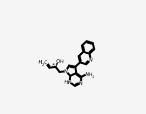 C=C[C@@H](O)CN1C=C(c2cnc3ccccc3c2)C2=C(N)N=CNC21